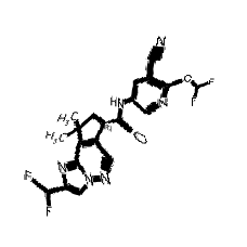 CC1(C)C[C@@H](C(=O)Nc2cnc(OC(F)F)c(C#N)c2)c2cnn3cc(C(F)F)nc3c21